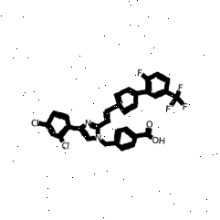 O=C(O)c1ccc(Cn2cc(-c3ccc(Cl)cc3Cl)nc2C=Cc2ccc(-c3cc(C(F)(F)F)ccc3F)cc2)cc1